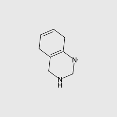 C1=CCC2=C(C1)CNC[N]2